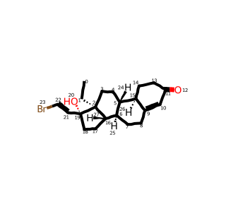 CC[C@]12CC[C@H]3[C@@H](CCC4=CC(=O)CC[C@@H]43)[C@@H]1CC[C@@]2(O)/C=C/Br